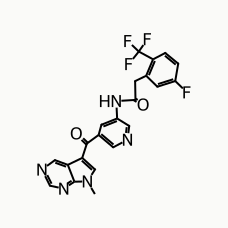 Cn1cc(C(=O)c2cncc(NC(=O)Cc3cc(F)ccc3C(F)(F)F)c2)c2cncnc21